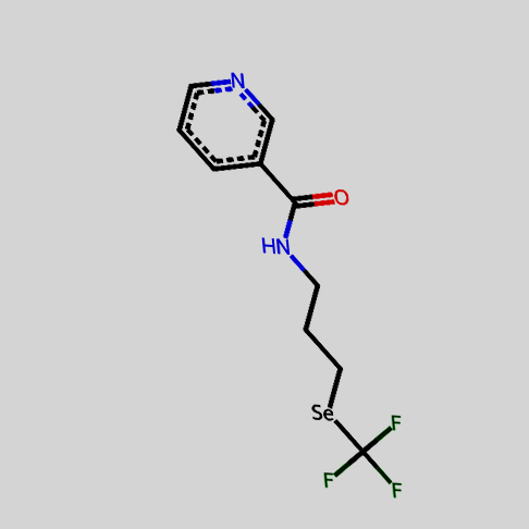 O=C(NCCC[Se]C(F)(F)F)c1cccnc1